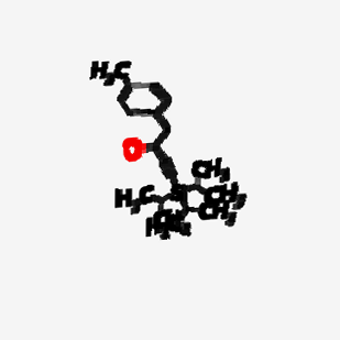 Cc1ccc(CC(=O)C#C[Si](C(C)C)(C(C)C)C(C)C)cc1